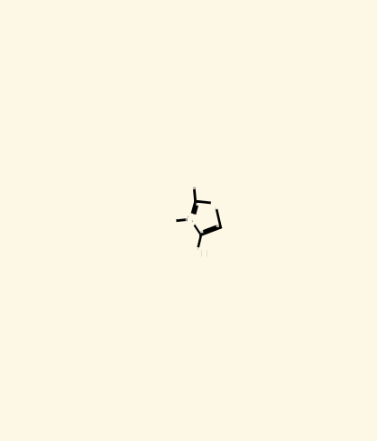 Cc1csc(C)[n+]1C